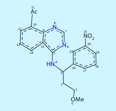 COCCC(Nc1ncnc2c(C(C)=O)cccc12)c1cccc([N+](=O)[O-])c1